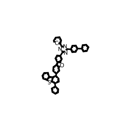 c1ccc(-c2ccc(-c3nc(-c4ccccc4)nc(-c4ccc5c(c4)oc4cc(-c6ccc(-c7ccccc7)c7sc8ccccc8c67)ccc45)n3)cc2)cc1